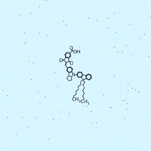 CCCCCCCCC1(CCCCCCCC)c2ccccc2-c2ccc(N3c4ccc(/C=C5/C(=O)c6ccc(C(=O)O)cc6C5=O)cc4C4CCCC43)cc21